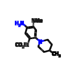 CCOC(=O)c1cc(N)c(NC)cc1N1CCC(C)CC1